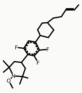 C/C=C/CCC1CCC(c2cc(F)c(C3CC(C)(C)N(OC)C(C)(C)C3)c(F)c2F)CC1